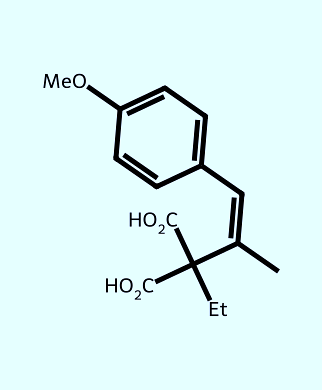 CCC(C(=O)O)(C(=O)O)C(C)=Cc1ccc(OC)cc1